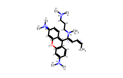 C/C=C\C=C(\c1c2ccc(=[N+](CC)CC)cc-2oc2cc(N(CC)CC)ccc12)N(C)CCCN(CC)CC